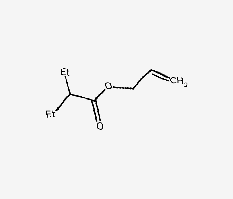 C=CCOC(=O)C(CC)CC